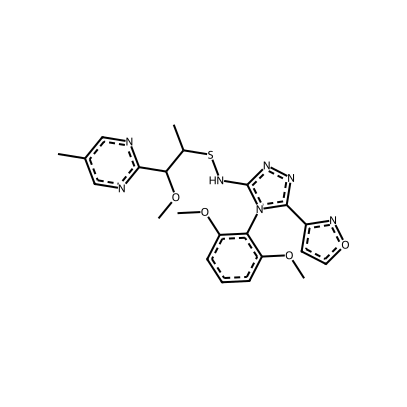 COc1cccc(OC)c1-n1c(NSC(C)C(OC)c2ncc(C)cn2)nnc1-c1ccon1